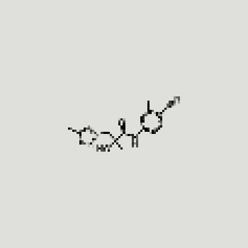 Cc1cnn(CC(C)(O)C(=O)Nc2ccc(C#N)c(C)c2)c1